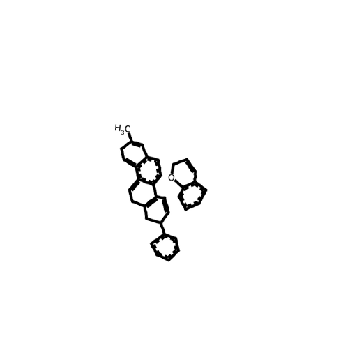 C1=Cc2ccccc2OC1.CC1=Cc2ccc3c(c2=CC1)=CCC1=C3C=CC(c2ccccc2)C1